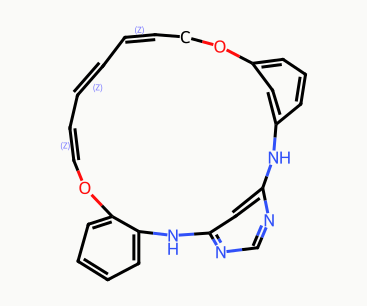 C1=C\C=C/Oc2ccccc2Nc2cc(ncn2)Nc2cccc(c2)OC\C=C/1